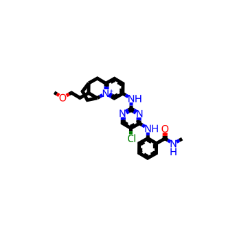 CNC(=O)c1ccccc1Nc1nc(Nc2ccc3[n+](c2)C2CCC(C3)C2CCOC)ncc1Cl